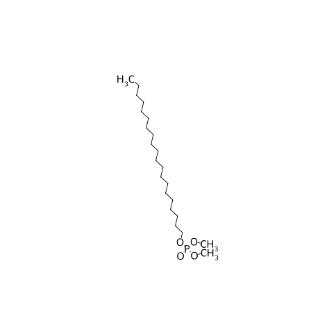 CCCCCCCCCCCCCCCCCCCCOP(=O)(OC)OC